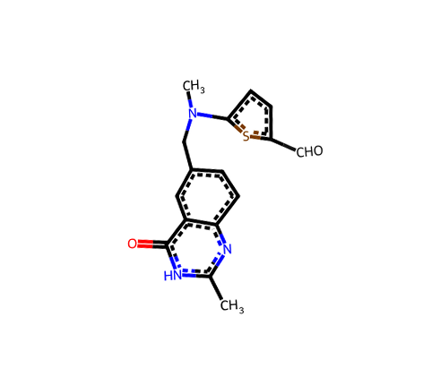 Cc1nc2ccc(CN(C)c3ccc(C=O)s3)cc2c(=O)[nH]1